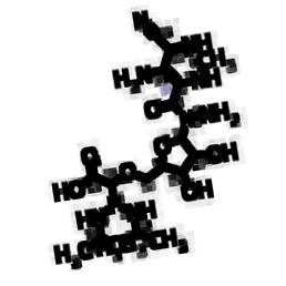 CN/C(C(=O)N(N)C1OC(COC(C(=O)O)P(NC(C)C)NC(C)C)C(O)C1O)=C(/N)C(=N)C#N